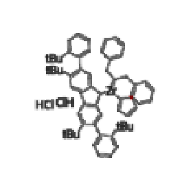 CC(C)(C)c1ccccc1-c1cc2c(cc1C(C)(C)C)-c1cc(C(C)(C)C)c(-c3ccccc3C(C)(C)C)cc1[CH]2[Zr]([C]1=CC=CC1)=[C](Cc1ccccc1)Cc1ccccc1.Cl.Cl